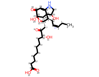 CC/C=C\C[C@H]1[C@H](CC(=O)[C@H](O)CCCCCCCC(=O)O)O[C@@]2(O)CC13C(=CC2=O)NC[C@H]3O